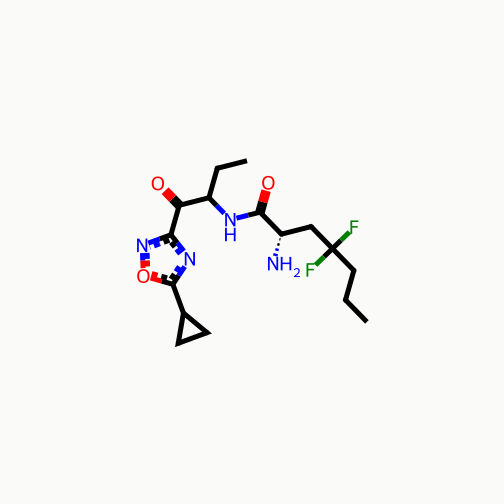 CCCC(F)(F)C[C@H](N)C(=O)NC(CC)C(=O)c1noc(C2CC2)n1